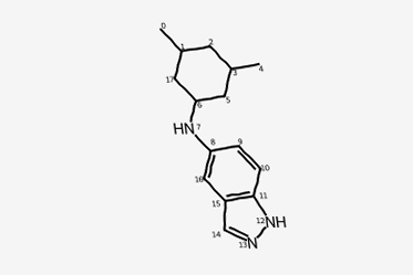 CC1CC(C)CC(Nc2ccc3[nH]ncc3c2)C1